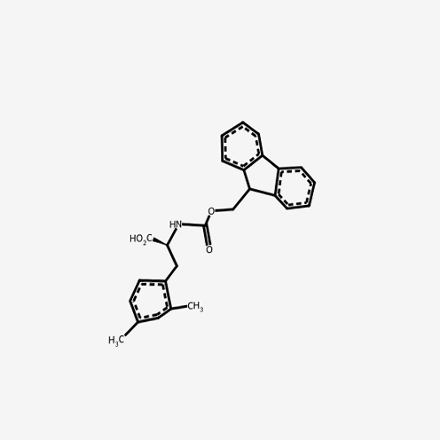 Cc1ccc(C[C@H](NC(=O)OCC2c3ccccc3-c3ccccc32)C(=O)O)c(C)c1